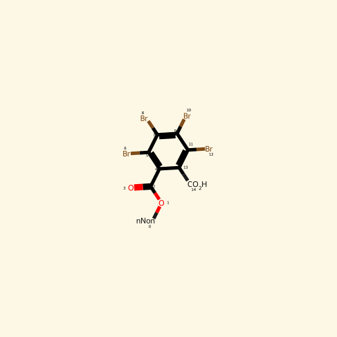 CCCCCCCCCOC(=O)c1c(Br)c(Br)c(Br)c(Br)c1C(=O)O